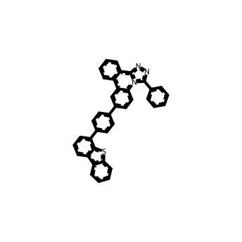 c1ccc(-c2nnc3c4ccccc4c4cc(-c5ccc(-c6cccc7c6sc6ccccc67)cc5)ccc4n23)cc1